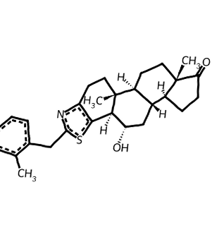 Cc1ccccc1Cc1nc2c(s1)[C@@H]1[C@@H](O)C[C@@H]3[C@H](CC[C@]4(C)C(=O)CC[C@@H]34)[C@@]1(C)CC2